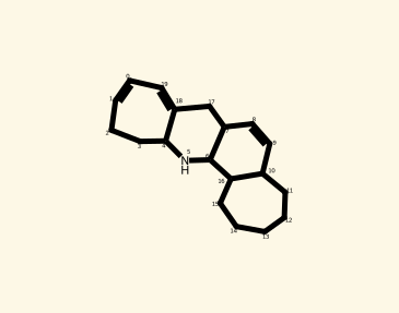 C1=CCCC2NC3C(C=CC4CCCCCC43)CC2=C1